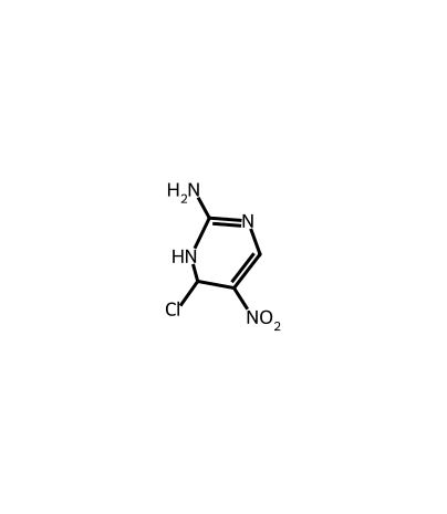 NC1=NC=C([N+](=O)[O-])C(Cl)N1